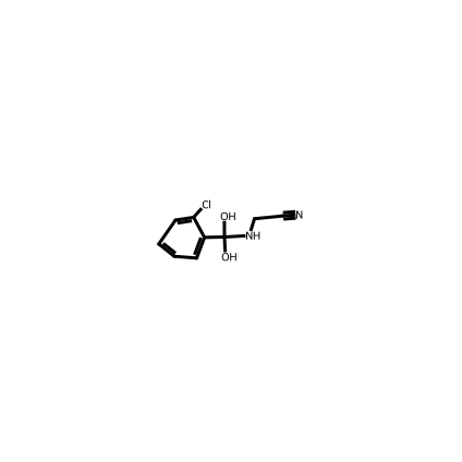 N#CCNC(O)(O)c1ccccc1Cl